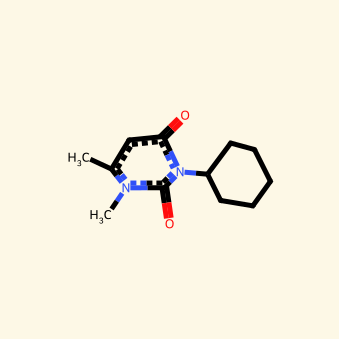 Cc1cc(=O)n(C2CCCCC2)c(=O)n1C